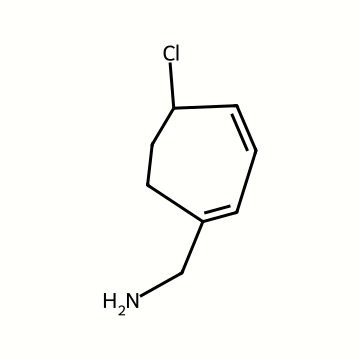 NCC1=CC=CC(Cl)CC1